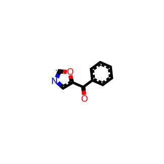 O=C(c1ccccc1)c1cn[c]o1